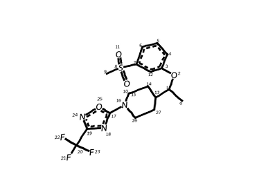 CC(Oc1c[c]cc(S(C)(=O)=O)c1)C1CCN(c2nc(C(F)(F)F)no2)CC1